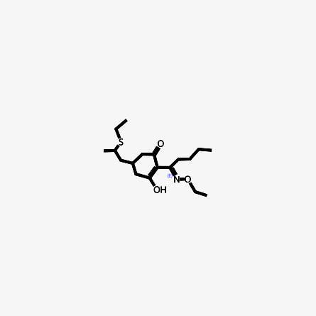 CCCC/C(=N\OCC)C1=C(O)CC(CC(C)SCC)CC1=O